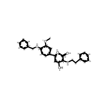 COc1cc(-c2cc(O)c(SCCc3ccccc3)c(=O)o2)ccc1OCc1ccccc1